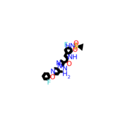 Cc1cc(Oc2ccccc2F)ncc1-n1ncc(C(=O)c2cc3cc(F)c(NS(=O)(=O)C4CC4)cc3[nH]2)c1N